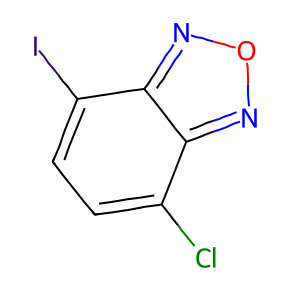 Clc1ccc(I)c2nonc12